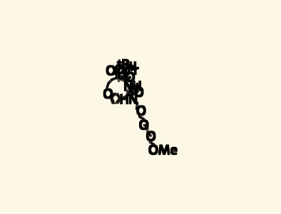 COCCOCCOCCOCCNC(=O)[C@@H]1Cc2ccc(cc2)OCCCC(C(=O)OC(C)(C)C)[C@@H](CC(C)C)C(=O)N1